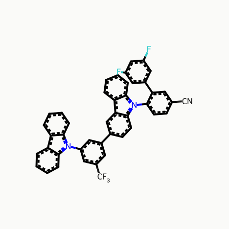 N#Cc1ccc(-n2c3ccccc3c3cc(-c4cc(-n5c6ccccc6c6ccccc65)cc(C(F)(F)F)c4)ccc32)c(-c2cc(F)cc(F)c2)c1